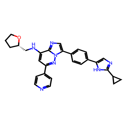 c1cc(-c2cc(NC[C@@H]3CCCO3)c3ncc(-c4ccc(-c5cnc(C6CC6)[nH]5)cc4)n3n2)ccn1